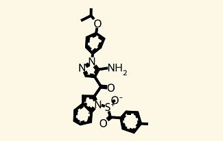 Cc1ccc(C(=O)[S+]([O-])n2c(C(=O)c3cnn(-c4ccc(OC(C)C)cc4)c3N)cc3ccccc32)cc1